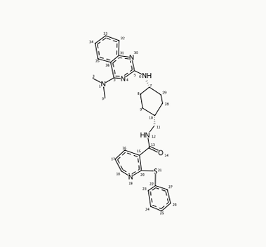 CN(C)c1nc(N[C@H]2CC[C@@H](CNC(=O)c3cccnc3Sc3ccccc3)CC2)nc2ccccc12